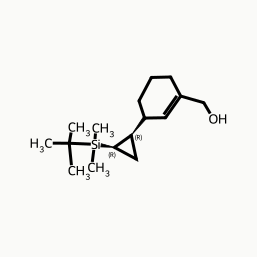 CC(C)(C)[Si](C)(C)[C@@H]1C[C@@H]1C1C=C(CO)CCC1